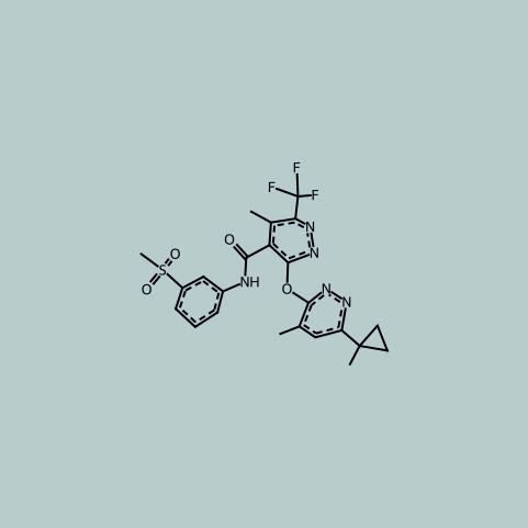 Cc1cc(C2(C)CC2)nnc1Oc1nnc(C(F)(F)F)c(C)c1C(=O)Nc1cccc(S(C)(=O)=O)c1